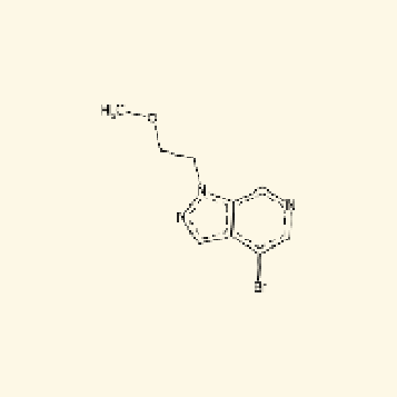 COCCn1ncc2c(Br)cncc21